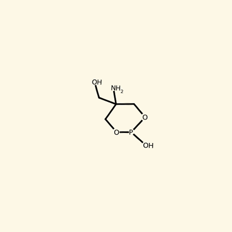 NC1(CO)COP(O)OC1